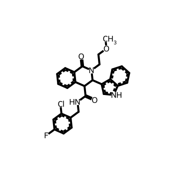 COCCN1C(=O)c2ccccc2C(C(=O)NCc2ccc(F)cc2Cl)C1c1c[nH]c2ccccc12